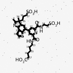 CC1=Nc2c(cc(-c3cc(C(=O)NCCCCCC(=O)O)nc(C(=O)NCCS(=O)(=O)O)c3)c3sccc23)C1(C)CCCS(=O)(=O)O